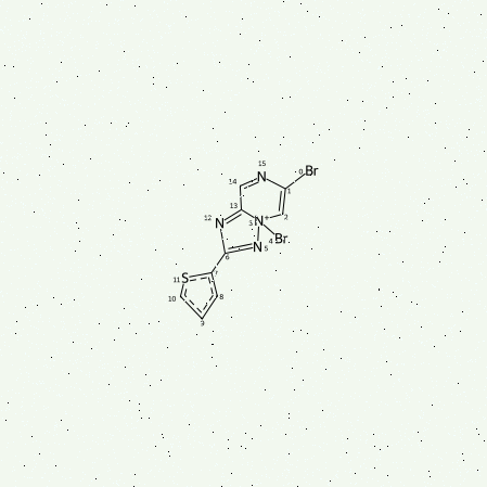 BrC1=C[N+]2(Br)N=C(c3cccs3)N=C2C=N1